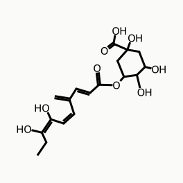 C=C(/C=C\C(O)=C(\O)CC)/C=C/C(=O)OC1CC(O)(C(=O)O)CC(O)C1O